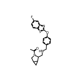 CC(=O)N1CC2CC2C1CNCc1ccc(Oc2nc3cc(F)ccc3s2)cc1